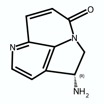 N[C@H]1Cn2c(=O)ccc3nccc1c32